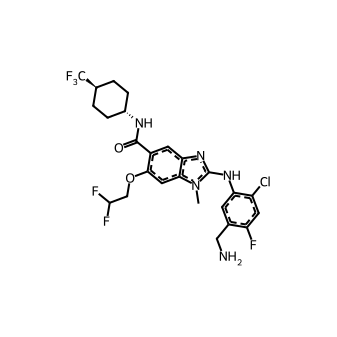 Cn1c(Nc2cc(CN)c(F)cc2Cl)nc2cc(C(=O)N[C@H]3CC[C@H](C(F)(F)F)CC3)c(OCC(F)F)cc21